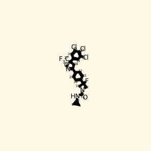 O=C(NC1CC1)N1CC(F)(c2ccc(C3=NOC(c4cc(Cl)c(Cl)c(Cl)c4)(C(F)(F)F)C3)cc2)C1